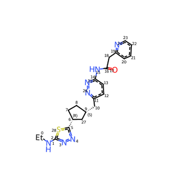 CCNc1nnc([C@@H]2CC[C@H](Cc3ccc(NC(=O)Cc4ccccn4)nn3)C2)s1